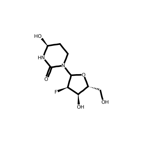 O=C1N[C@@H](O)CCN1C1O[C@H](CO)[C@@H](O)[C@H]1F